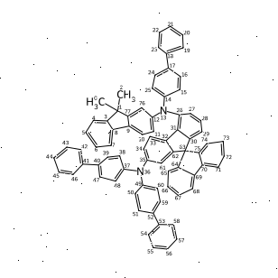 CC1(C)c2ccccc2-c2ccc(N(c3ccc(-c4ccccc4)cc3)c3cccc4c3-c3ccc(N(c5ccc(-c6ccccc6)cc5)c5ccc(-c6ccccc6)cc5)cc3C43c4ccccc4-c4ccccc43)cc21